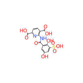 O=C(O)c1ccc(C(=O)O)c(NC(=O)c2cc(O)cc(S(=O)(=O)O)c2O)n1